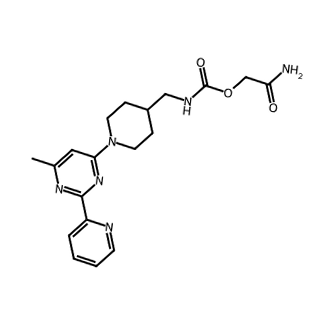 Cc1cc(N2CCC(CNC(=O)OCC(N)=O)CC2)nc(-c2ccccn2)n1